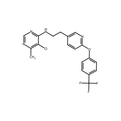 Cc1ncnc(NCCc2ccc(Oc3ccc(C(F)(F)F)cc3)nc2)c1Cl